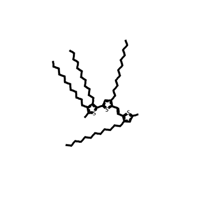 CCCCCCCCCCCCc1cc(C)sc1/C=C/c1sc(-c2sc(C)c(CCCCCCCCCCCC)c2CCCCCCCCCCCC)cc1CCCCCCCCCCCC